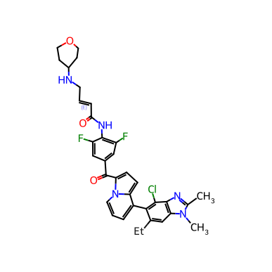 CCc1cc2c(nc(C)n2C)c(Cl)c1-c1cccn2c(C(=O)c3cc(F)c(NC(=O)/C=C/CNC4CCOCC4)c(F)c3)ccc12